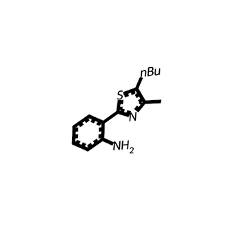 CCCCc1sc(-c2ccccc2N)nc1C